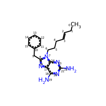 CCC=CCCCn1c(Cc2ccccc2)nc2c(N)nc(N)nc21